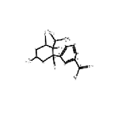 CC1CC(F)C(F)(C(C)C)C(F)(c2cccc(C(=O)Cl)c2)C1